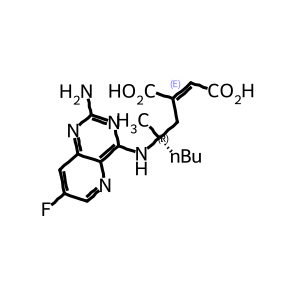 CCCC[C@](C)(C/C(=C\C(=O)O)C(=O)O)Nc1nc(N)nc2cc(F)cnc12